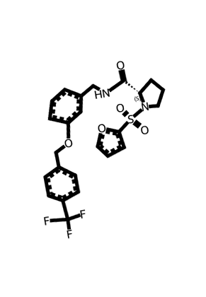 O=C(NCc1cccc(OCc2ccc(C(F)(F)F)cc2)c1)[C@@H]1CCCN1S(=O)(=O)c1ccco1